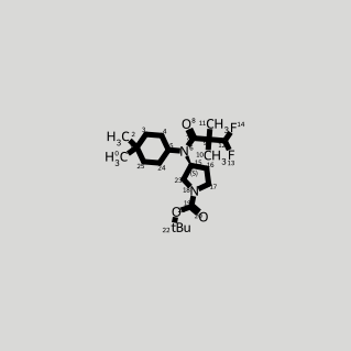 CC1(C)CCC(N(C(=O)C(C)(C)C(F)F)[C@H]2CCN(C(=O)OC(C)(C)C)C2)CC1